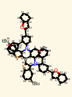 CC(C)c1cc2c3c(c1)N(c1ccc(-c4cc5ccccc5o4)cc1-c1ccccc1)c1c(sc4ccc(C(C)(C)C)cc14)B3c1sc3ccc(C(C)(C)C)cc3c1N2c1ccc(-c2cc3ccccc3o2)cc1-c1ccccc1